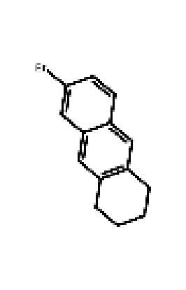 CCc1ccc2cc3c(cc2c1)CCCC3